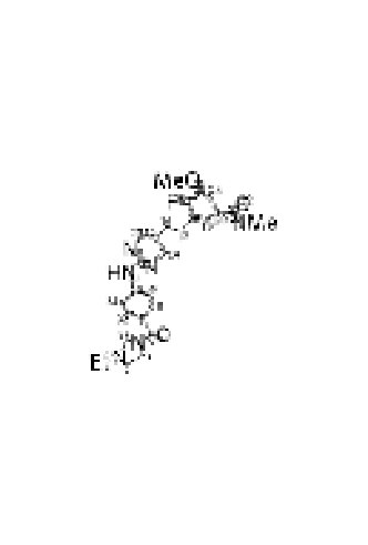 CCN1CCN(C(=O)c2ccc(Nc3ncc(CCc4cc(C(=O)NC)cc(OC)c4F)cn3)cc2)C1